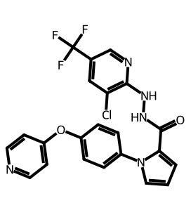 O=C(NNc1ncc(C(F)(F)F)cc1Cl)c1cccn1-c1ccc(Oc2ccncc2)cc1